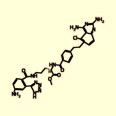 COC(=O)[C@H](CCCNC(=O)c1ccc(N)cc1-c1nnn[nH]1)NC(=O)c1ccc(CCc2ccc3nc(N)nc(N)c3c2Cl)cc1